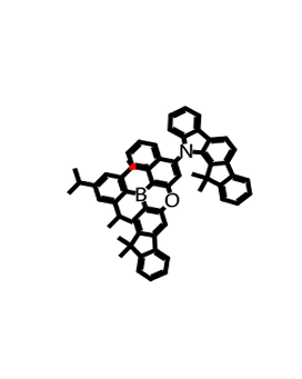 CC(C)c1cc(C(C)C)c(B2c3cc4c(cc3Oc3cc(-n5c6ccccc6c6ccc7c(c65)C(C)(C)c5ccccc5-7)c5ccccc5c32)-c2ccccc2C4(C)C)c(C(C)C)c1